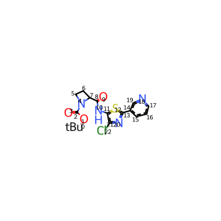 CC(C)(C)OC(=O)N1CCC1C(=O)Nc1sc(-c2cccnc2)nc1Cl